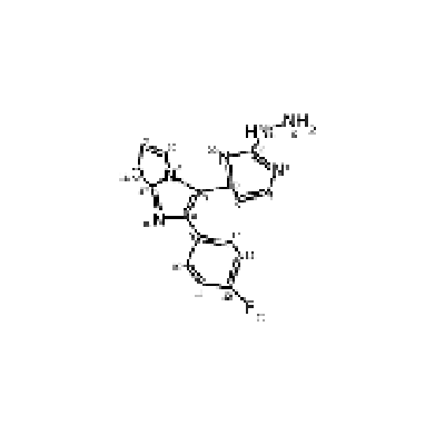 NNc1nccc(-c2c(-c3ccc(F)cc3)nc3occn23)n1